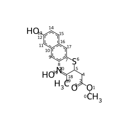 COC(=O)CC(Sc1ccc2cc(O)ccc2c1)C(C)=NO